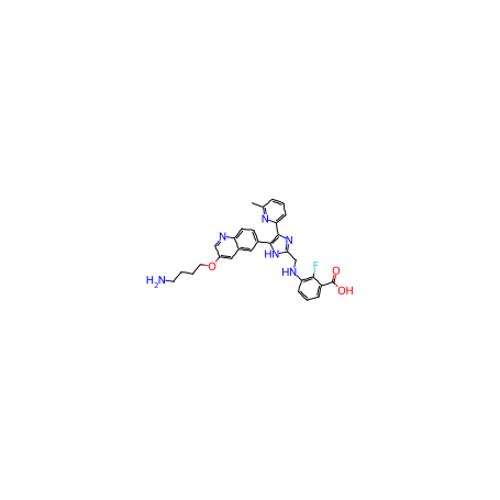 Cc1cccc(-c2nc(CNc3cccc(C(=O)O)c3F)[nH]c2-c2ccc3ncc(OCCCCN)cc3c2)n1